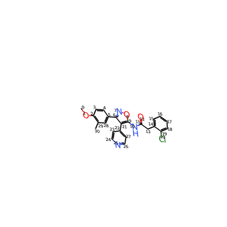 COc1ccc(-c2noc(NC(=O)Cc3ccccc3Cl)c2-c2ccncc2)cc1C